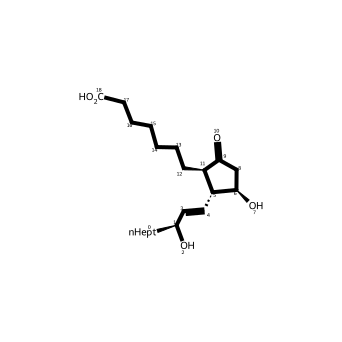 CCCCCCC[C@H](O)C=C[C@H]1[C@H](O)CC(=O)[C@@H]1CCCCCCC(=O)O